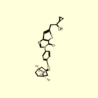 CN1[C@@H]2CC[C@H]1CC(Oc1ccc(-n3cnc4cc(CC(O)C5CC5)sc4c3=O)cc1)C2